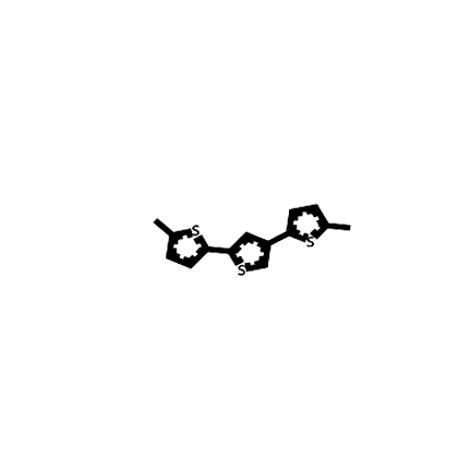 Cc1ccc(-c2csc(-c3ccc(C)s3)c2)s1